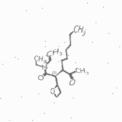 CCCCCCC(C(C)=O)[C@H](C(=O)N(CC)CC)C1CCO1